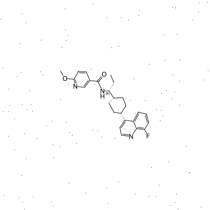 CC[C@@H](NC(=O)c1ccc(OC)nc1)[C@H]1CC[C@@H](c2ccnc3c(F)cccc32)CC1